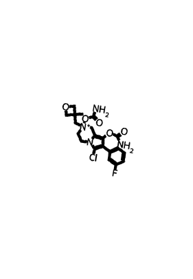 CC1(C[N+]2(OC(N)=O)CCn3c(Cl)c(-c4cccc(F)c4)c(OC(N)=O)c3C2)COC1